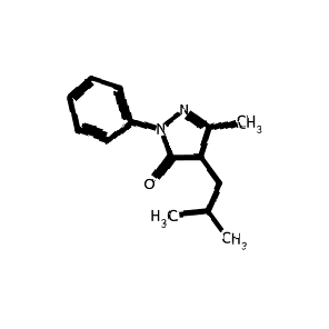 CC1=NN(c2ccccc2)C(=O)C1CC(C)C